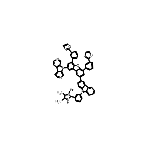 CC1NC(c2cccc(-n3c4ccccc4c4cc(-c5cc(-c6cccc(-c7ncco7)c6)c6oc7c(-c8cccc(-c9ncco9)c8)cc(-n8c9cnccc9c9ccncc98)cc7c6c5)ccc43)c2)N(C(C)C)C1C